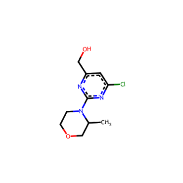 CC1COCCN1c1nc(Cl)cc(CO)n1